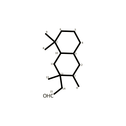 CC1CC2CCCC(C)(C)C2CC1(C)CC=O